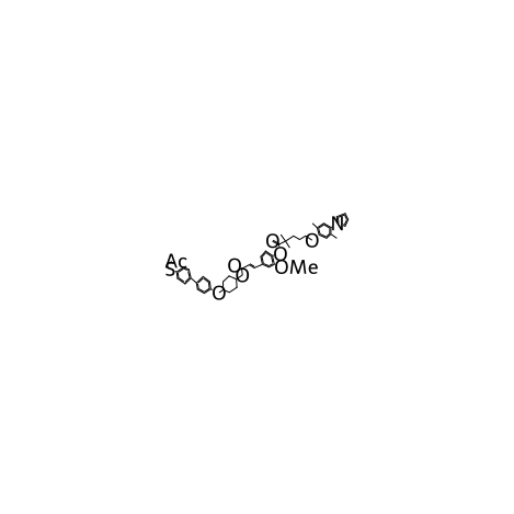 COc1cc(C=CC(=O)OC2CCC(Oc3ccc(-c4ccc(SC(C)=O)cc4)cc3)CC2)ccc1OC(=O)C(C)(C)CCCOc1cc(C)c(-n2cccc2)cc1C